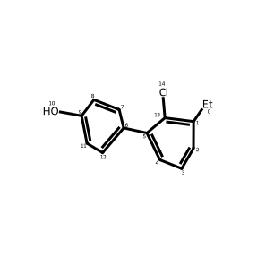 CCc1cccc(-c2ccc(O)cc2)c1Cl